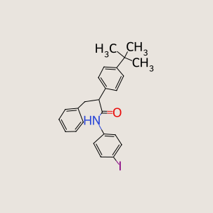 CC(C)(C)c1ccc(C(Cc2ccccc2)C(=O)Nc2ccc(I)cc2)cc1